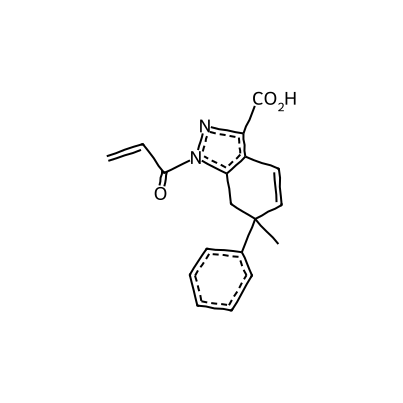 C=CC(=O)n1nc(C(=O)O)c2c1CC(C)(c1ccccc1)C=C2